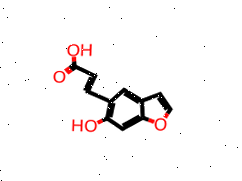 O=C(O)C=Cc1cc2ccoc2cc1O